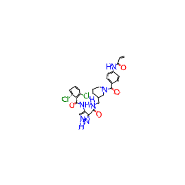 C=CC(=O)Nc1ccc(C(=O)N2CCCC(CNC(=O)c3n[nH]cc3NC(=O)c3c(Cl)cccc3Cl)C2)cc1